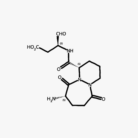 N[C@H]1CCC(=O)N2CCC[C@@H](C(=O)N[C@H](C=O)CC(=O)O)N2C1=O